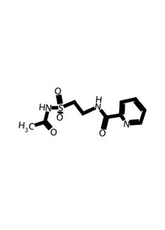 CC(=O)NS(=O)(=O)CCNC(=O)c1ccccn1